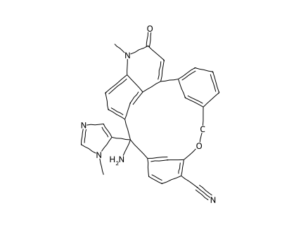 Cn1cncc1C1(N)c2ccc(C#N)c(c2)OCc2cccc(c2)-c2cc(=O)n(C)c3ccc1cc23